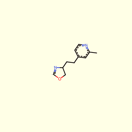 Cc1cc(CCC2CO[C]=N2)ccn1